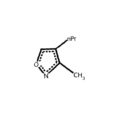 CCCc1conc1C